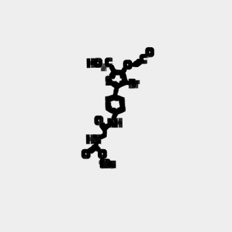 CC(C)(C)OC(=O)NCC(=O)Nc1ccc(-c2sc(C(=O)O)c(OC=C=O)c2Br)cc1